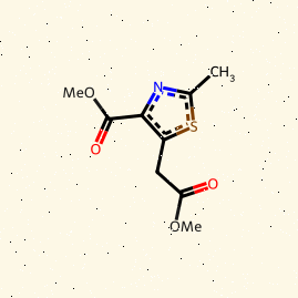 COC(=O)Cc1sc(C)nc1C(=O)OC